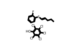 CCC/C=C/Sc1ccccc1F.Oc1c(Cl)c(Cl)c(Cl)c(Cl)c1Cl